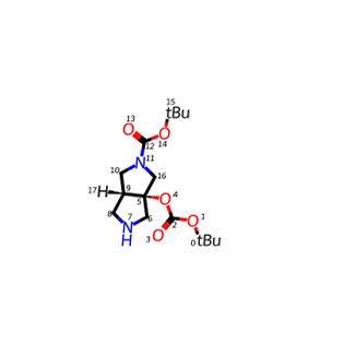 CC(C)(C)OC(=O)O[C@@]12CNC[C@@H]1CN(C(=O)OC(C)(C)C)C2